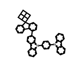 c1ccc2c(c1)-c1c(-c3ccc4c5ccccc5n(-c5ccc(-n6c7ccccc7c7ccccc76)cc5)c4c3)cccc1C21C2CC3CC4CC1C342